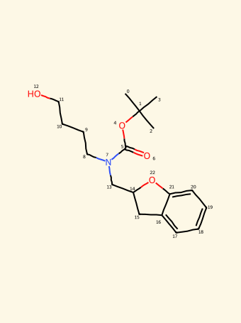 CC(C)(C)OC(=O)N(CCCCO)CC1Cc2ccccc2O1